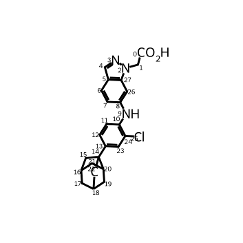 O=C(O)Cn1ncc2ccc(Nc3ccc(C45CC6CC(CC4C6)C5)cc3Cl)cc21